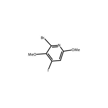 COc1cc(I)c(OC)c(Br)n1